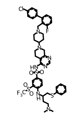 CN(C)CCC(CSc1ccccc1)Nc1ccc(S(=O)(=O)Nc2ncnc3c2CCN(C2CCN(Cc4c(F)cccc4-c4ccc(Cl)cc4)CC2)C3)cc1S(=O)(=O)C(F)(F)F